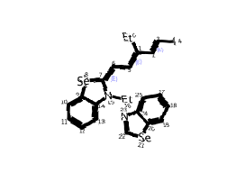 CCC(/C=C/I)=C\C=C1\[Se]c2ccccc2N1CC.c1ccc2[se]cnc2c1